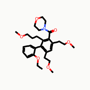 CCOc1ccccc1-c1c(CCOC)[c]c(CCOC)c(C(=O)N2CCOCC2)c1CCCOC